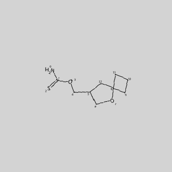 NC(=S)OCC1COC2(CCC2)C1